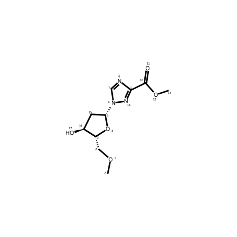 COC[C@H]1O[C@@H](n2cnc(C(=O)OC)n2)C[C@@H]1O